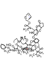 CC[C@H](C)[C@@H]([C@@H](CC(=O)N1CCC[C@H]1[C@H](OC)[C@@H](C)C(=O)N[C@H](C)[C@@H](O)c1ccccc1)OC)N(C)C(=O)[C@@H](NC(=O)[C@H](C(C)C)N(C)C(=O)OCc1ccc(OC(=O)NC(CN(C)C(=O)OC2/C=C/COCOC2)C(=O)ON2C(=O)CCC2=O)cc1)C(C)C